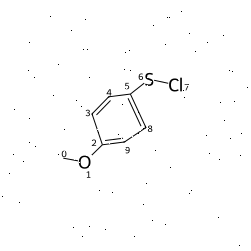 COc1ccc(SCl)cc1